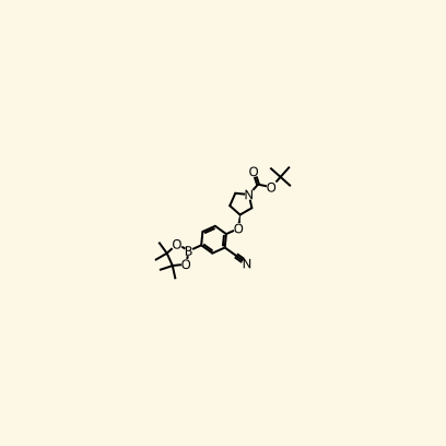 CC(C)(C)OC(=O)N1CC[C@H](Oc2ccc(B3OC(C)(C)C(C)(C)O3)cc2C#N)C1